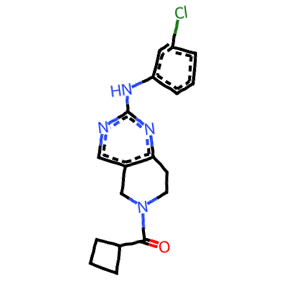 O=C(C1CCC1)N1CCc2nc(Nc3cccc(Cl)c3)ncc2C1